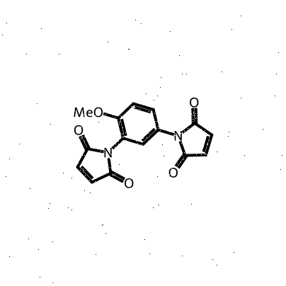 COc1ccc(N2C(=O)C=CC2=O)cc1N1C(=O)C=CC1=O